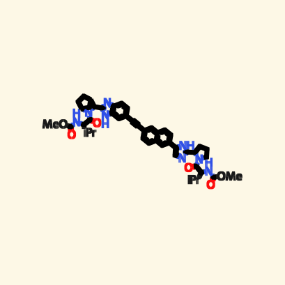 COC(=O)NC(C(=O)N1CCCC1c1ncc(-c2ccc3cc(C#Cc4ccc5nc(C6C7CCC(C7)N6C(=O)C(NC(=O)OC)C(C)C)[nH]c5c4)ccc3c2)[nH]1)C(C)C